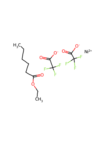 CCCCCC(=O)OCC.O=C([O-])C(F)(F)F.O=C([O-])C(F)(F)F.[Ni+2]